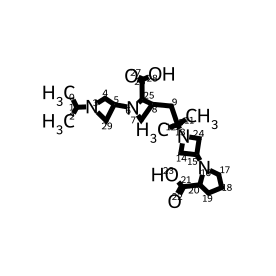 CC(C)N1CC(N2CC(CC(C)(C)N3CC(N4CCCC4C(=O)O)C3)C2C(=O)O)C1